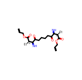 C=CCOC(=O)[C@H](CC)C(=N)C(=O)CCCCC(=O)C(=N)[C@@H](CC)C(=O)OCC=C